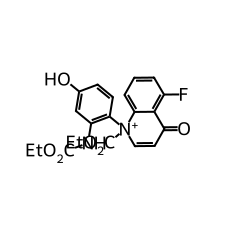 CCOC(=O)Nc1cc(O)ccc1[N+]1(C(=O)OCC)C=CC(=O)c2c(F)cccc21